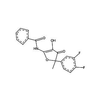 CC1(c2ccc(F)c(F)c2)OC(NC(=O)c2ccccc2)=C(O)C1=O